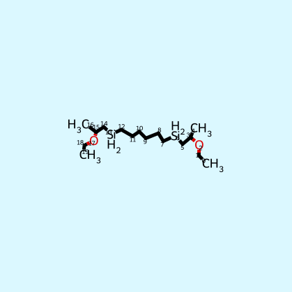 CCOC(C)C[SiH2]CCCCCC[SiH2]CC(C)OCC